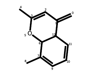 C=C1C=C(C)OC2C(C)=CC=CC12